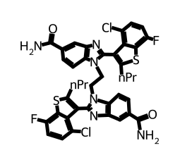 CCCc1sc2c(F)ccc(Cl)c2c1-c1nc2cc(C(N)=O)ccc2n1CCn1c(-c2c(CCC)sc3c(F)ccc(Cl)c23)nc2cc(C(N)=O)ccc21